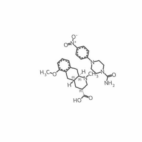 COc1cccc2c1C[C@H]1C[C@@H](C(=O)O)CN(C)[C@@H]1C2.NC(=O)N1CCN(c2ccc([N+](=O)[O-])cc2)CC1